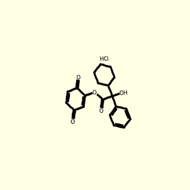 Cl.O=C1C=CC(=O)C(OC(=O)C(O)(c2ccccc2)C2CCCCC2)=C1